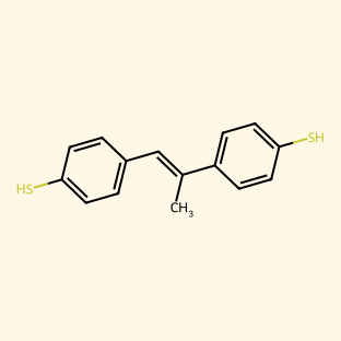 C/C(=C\c1ccc(S)cc1)c1ccc(S)cc1